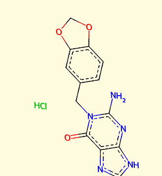 Cl.Nc1nc2[nH]cnc2c(=O)n1Cc1ccc2c(c1)OCO2